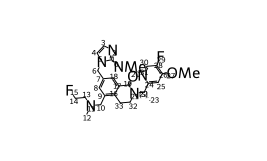 CNc1nccn1Cc1cc(CN(C)CCF)c2c(c1)C(=O)N([C@@H](C)c1cc(OC)c(F)cn1)CC2